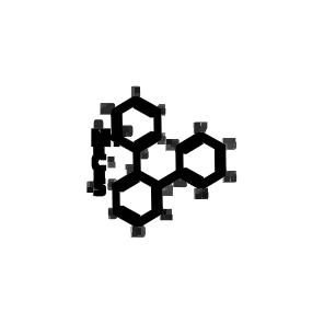 N=C=S.c1ccc(-c2ccccc2-c2ccccc2)cc1